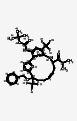 CN(C)C(=O)C1CC=CCCC(OCc2ccccc2)(C(F)(F)F)c2nnc(o2)-c2nc(c(C(F)(F)F)cc2NC(=O)OC(C)(C)C)N1